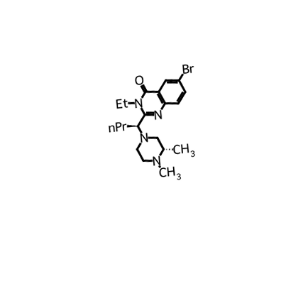 CCC[C@@H](c1nc2ccc(Br)cc2c(=O)n1CC)N1CCN(C)[C@@H](C)C1